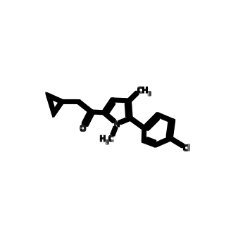 Cc1cc(C(=O)CC2CC2)n(C)c1-c1ccc(Cl)cc1